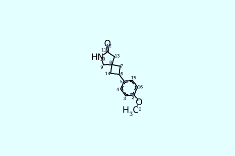 COc1ccc(C2CC3(CNC(=O)C3)C2)cc1